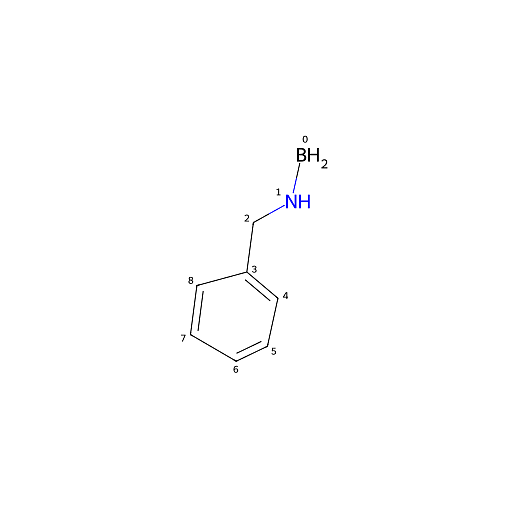 BNCc1ccccc1